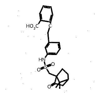 CC1(C)C2CCC1(CS(=O)(=O)Nc1cccc(CCc3ccccc3C(=O)O)c1)C(=O)C2